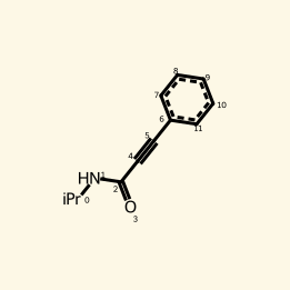 CC(C)NC(=O)C#Cc1ccccc1